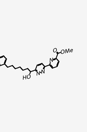 COC(=O)c1cccc(-c2ccc(C(O)CCCCCCc3ccccc3)nn2)n1